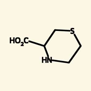 O=C(O)C1CSCCN1